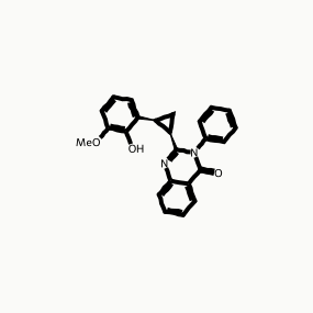 COc1cccc([C@H]2C[C@H]2c2nc3ccccc3c(=O)n2-c2ccccc2)c1O